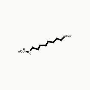 CCCCCCCCCCCCCCCCCCOCCCCCCCC